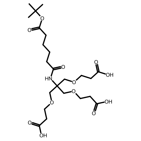 CC(C)(C)OC(=O)CCCCC(=O)NC(COCCC(=O)O)(COCCC(=O)O)COCCC(=O)O